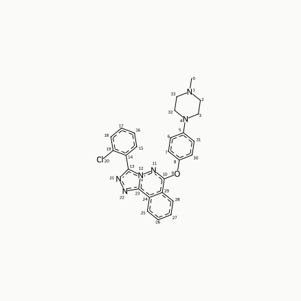 CN1CCN(c2ccc(Oc3nn4c(-c5ccccc5Cl)nnc4c4ccccc34)cc2)CC1